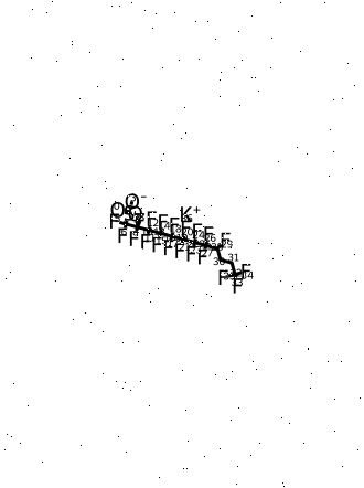 O=S(=O)([O-])C(F)(F)C(F)(F)C(F)(F)C(F)(F)C(F)(F)C(F)(F)C(F)(F)C(F)(F)C(F)CCC(F)(F)F.[K+]